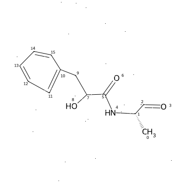 C[C@@H]([C]=O)NC(=O)C(O)Cc1ccccc1